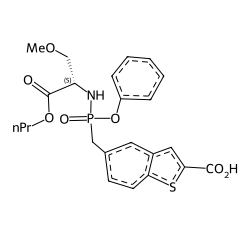 CCCOC(=O)[C@H](COC)NP(=O)(Cc1ccc2sc(C(=O)O)cc2c1)Oc1ccccc1